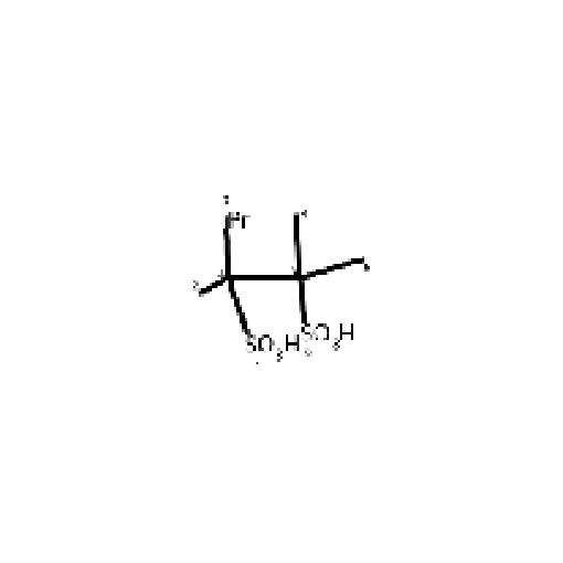 CC(C)C(C)(C(C)(C)S(=O)(=O)O)S(=O)(=O)O